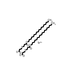 CCCCCCCCCCCCCCCCCCOC(=O)CCSCCC(=O)[O-].CCCCCCCCCCCCCCCCCCOC(=O)CCSCCC(=O)[O-].[Sr+2]